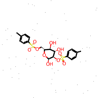 Cc1ccc(S(=O)(=O)OC[C@H]2O[C@H](O)[C@H](OS(=O)(=O)c3ccc(C)cc3)[C@@H](O)[C@@H]2O)cc1